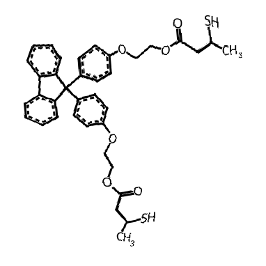 CC(S)CC(=O)OCCOc1ccc(C2(c3ccc(OCCOC(=O)CC(C)S)cc3)c3ccccc3-c3ccccc32)cc1